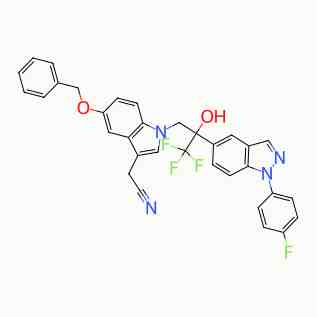 N#CCc1cn(CC(O)(c2ccc3c(cnn3-c3ccc(F)cc3)c2)C(F)(F)F)c2ccc(OCc3ccccc3)cc12